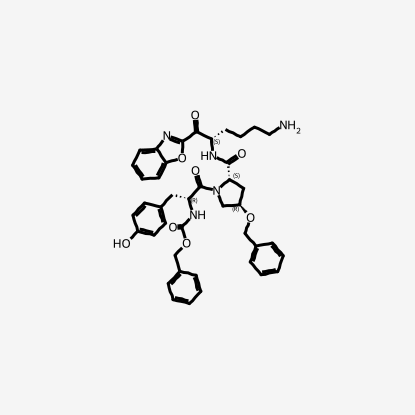 NCCCC[C@H](NC(=O)[C@@H]1C[C@@H](OCc2ccccc2)CN1C(=O)[C@@H](Cc1ccc(O)cc1)NC(=O)OCc1ccccc1)C(=O)c1nc2ccccc2o1